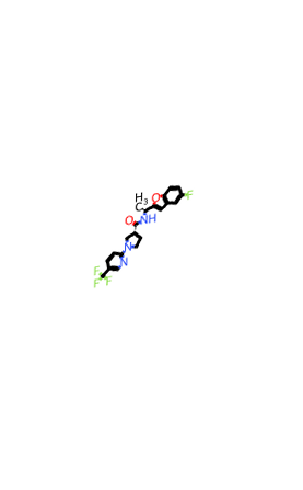 C[C@@H](NC(=O)[C@@H]1CCN(c2ccc(C(F)(F)F)cn2)C1)c1cc2cc(F)ccc2o1